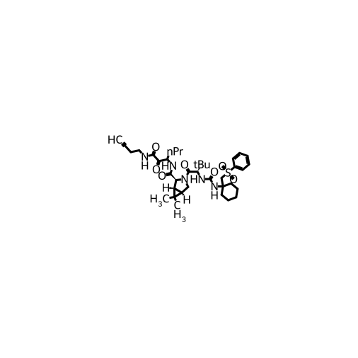 C#CCCNC(=O)C(=O)C(CCC)NC(=O)[C@@H]1[C@@H]2[C@H](CN1C(=O)[C@@H](NC(=O)NC1(CS(=O)(=O)c3ccccc3)CCCCC1)C(C)(C)C)C2(C)C